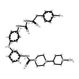 CN1CCC(N2CCN(C(=O)Nc3cc(Oc4ccc(NC(=O)NC(=O)Cc5ccc(F)cc5)cc4)ccn3)CC2)CC1